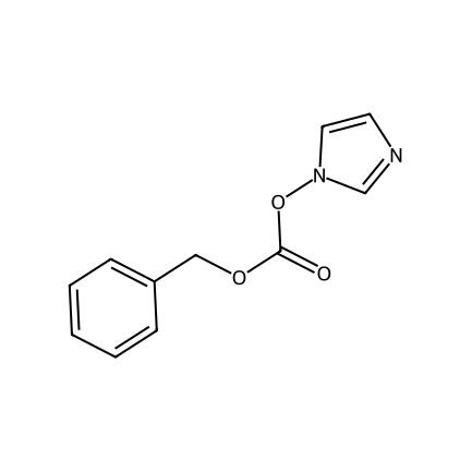 O=C(OCc1ccccc1)On1ccnc1